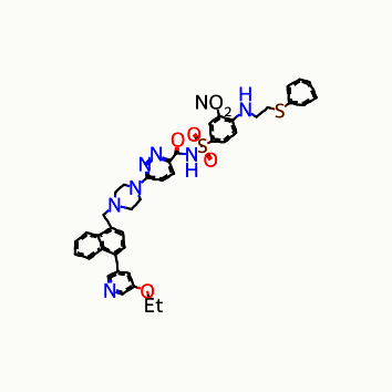 CCOc1cncc(-c2ccc(CN3CCN(c4ccc(C(=O)NS(=O)(=O)c5ccc(NCCSc6ccccc6)c([N+](=O)[O-])c5)nn4)CC3)c3ccccc23)c1